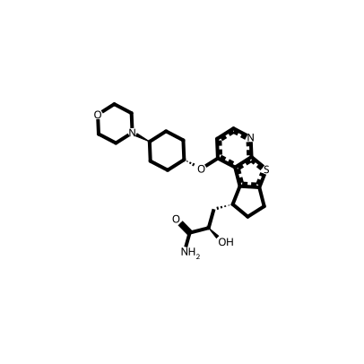 NC(=O)[C@H](O)C[C@H]1CCc2sc3nccc(O[C@H]4CC[C@H](N5CCOCC5)CC4)c3c21